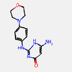 Nc1cc(=O)nc(Nc2ccc(N3CCOCC3)cc2)[nH]1